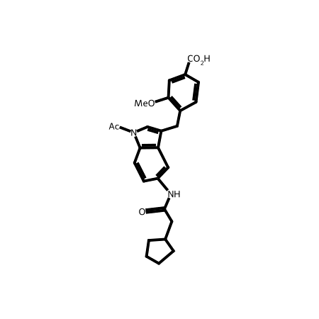 COc1cc(C(=O)O)ccc1Cc1cn(C(C)=O)c2ccc(NC(=O)CC3CCCC3)cc12